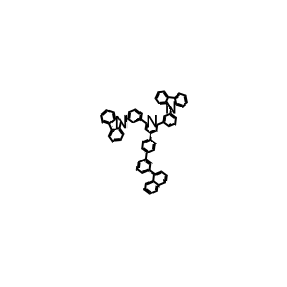 c1cc(-c2ccc(-c3cc(-c4cccc(-n5c6ccccc6c6ccccc65)c4)nc(-c4cccc(-n5c6ccccc6c6ccccc65)c4)c3)cc2)cc(-c2cccc3ccccc23)c1